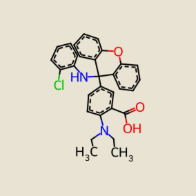 CCN(CC)c1ccc(C2(Nc3ccccc3Cl)c3ccccc3Oc3ccccc32)cc1C(=O)O